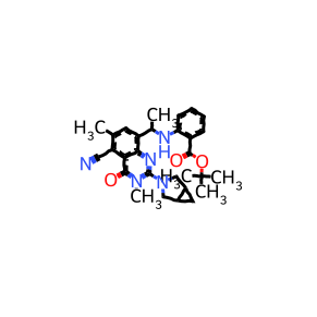 Cc1cc(C(C)Nc2ccccc2C(=O)OC(C)(C)C)c2nc(N3CC4CC4C3)n(C)c(=O)c2c1C#N